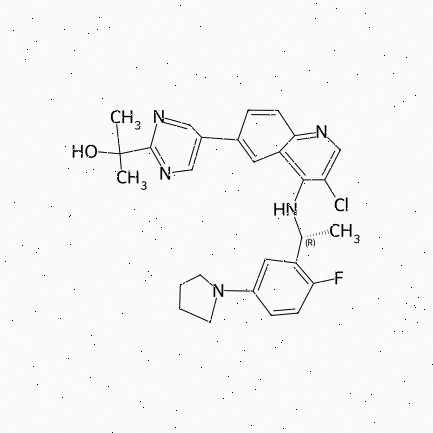 C[C@@H](Nc1c(Cl)cnc2ccc(-c3cnc(C(C)(C)O)nc3)cc12)c1cc(N2CCCC2)ccc1F